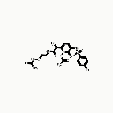 CCc1ccc(S(=O)(=O)Nc2ccc(C(C)C(=O)NCCONC(=N)N)n(OC(=O)C(F)(F)F)c2=O)cc1